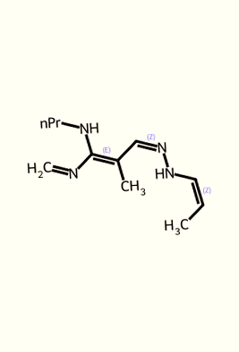 C=N/C(NCCC)=C(C)/C=N\N/C=C\C